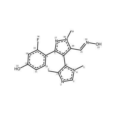 Cc1ncn(C)c1-c1c(-c2ccc(O)cc2F)nn(C)c1C=NO